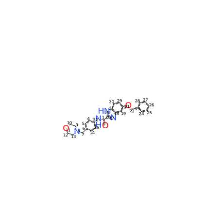 O=C(Nc1ccc(CN2CCOCC2)cc1)c1nc2cc(OCc3ccccc3)ccc2[nH]1